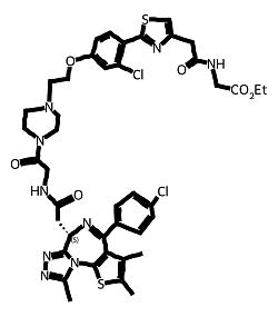 CCOC(=O)CNC(=O)Cc1csc(-c2ccc(OCCN3CCN(C(=O)CNC(=O)C[C@@H]4N=C(c5ccc(Cl)cc5)c5c(sc(C)c5C)-n5c(C)nnc54)CC3)cc2Cl)n1